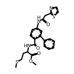 COC(=O)C(CCSC)NC(=O)c1ccc(NC(=O)Cc2nccs2)cc1-c1ccccc1